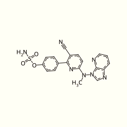 CN(c1ccc(C#N)c(-c2ccc(OS(N)(=O)=O)cc2)n1)n1cnc2cccnc21